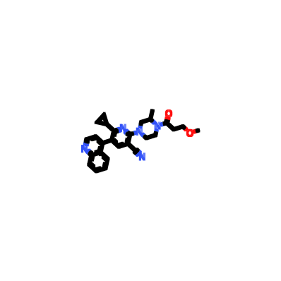 COCCC(=O)N1CCN(c2nc(C3CC3)c(-c3ccnc4ccccc34)cc2C#N)CC1C